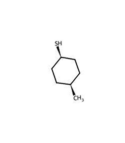 C[C@H]1CC[C@@H](S)CC1